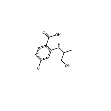 CC(CO)Nc1cc(Cl)ncc1C(=O)O